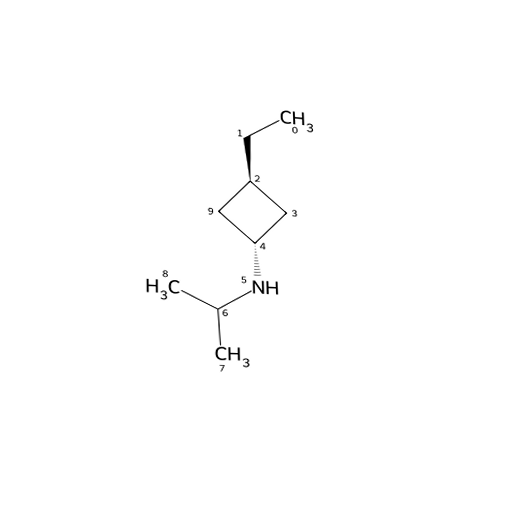 CC[C@H]1C[C@H](NC(C)C)C1